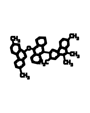 Cc1ccc2c(c1)cc(Oc1c3ccccc3c(-c3cc4c(cc3C)c(C)c(C)c3cc(C)ccc34)c3ccccc13)c1cc(C)ccc12